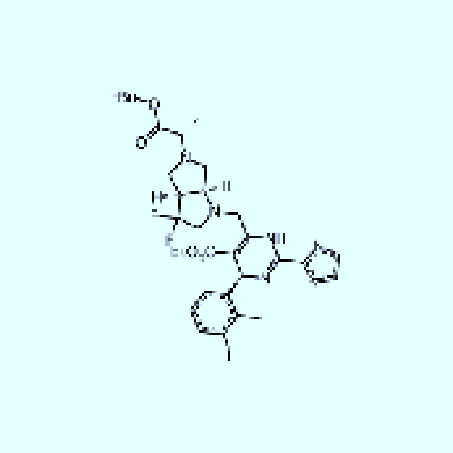 CCOC(=O)C1=C(CN2CC(F)(F)[C@H]3CN([C@@H](C)C(=O)OC(C)(C)C)C[C@H]32)NC(c2nccs2)=N[C@H]1c1cccc(F)c1C